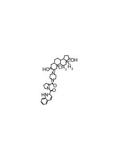 C[C@]12C[C@H](N3CCN(C(=O)[C@@H]4CCCN4C(=O)C4C=Cc5ccccc5N4)CC3)[C@@H](O)CC1CCC1C2CC[C@@]2(C)C1CC[C@@H]2O